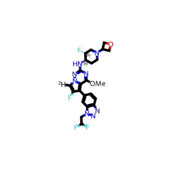 [2H]c1c(F)c(-c2ccc3nnn(CC(F)F)c3c2)c2c(OC)nc(N[C@@H]3CCN(C4COC4)C[C@H]3F)nn12